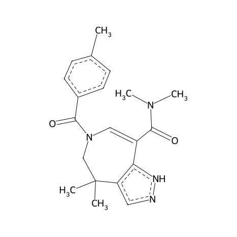 Cc1ccc(C(=O)N2C=C(C(=O)N(C)C)c3[nH]ncc3C(C)(C)C2)cc1